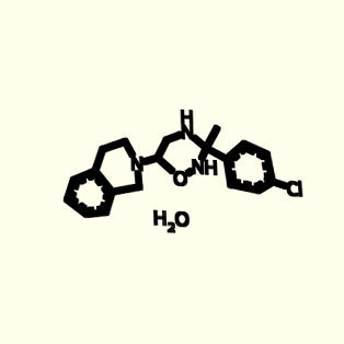 CC1(c2ccc(Cl)cc2)NCC(N2CCc3ccccc3C2)ON1.O